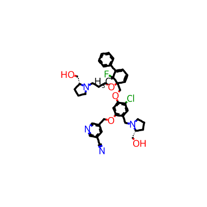 CC1(F)C(c2ccccc2)=CC=CC1(COc1cc(OCc2cncc(C#N)c2)c(CN2CCC[C@@H]2CO)cc1Cl)OCCCN1CCC[C@@H]1CO